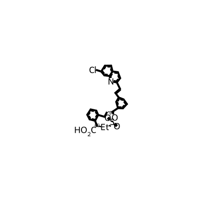 CC[C@@H](C(=O)O)c1ccccc1CC[C@@H](OS(C)(=O)=O)c1cccc(C=Cc2ccc3ccc(Cl)cc3n2)c1